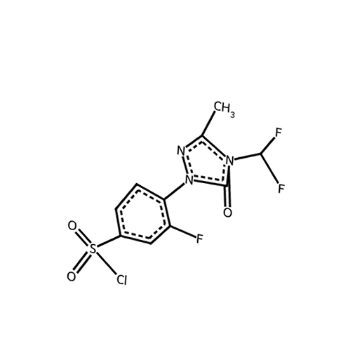 Cc1nn(-c2ccc(S(=O)(=O)Cl)cc2F)c(=O)n1C(F)F